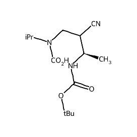 CC(C)N(CC(C#N)[C@@H](C)NC(=O)OC(C)(C)C)C(=O)O